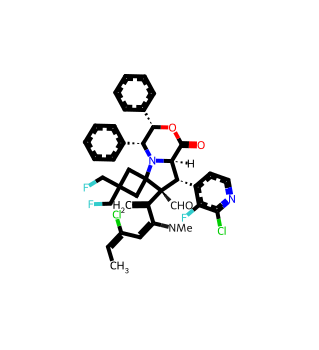 C=C(/C(=C\C(Cl)=C/C)NC)[C@@]1(C=O)[C@@H](c2ccnc(Cl)c2F)[C@@H]2C(=O)O[C@@H](c3ccccc3)[C@@H](c3ccccc3)N2C12CC(CF)(CF)C2